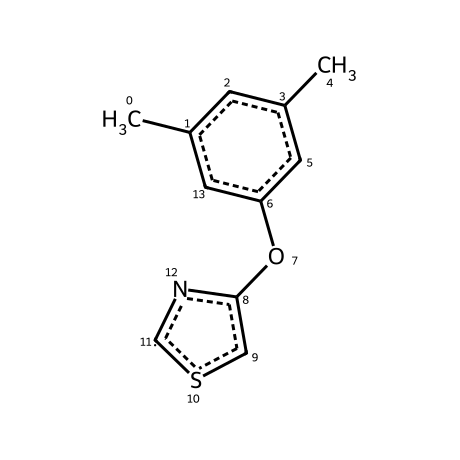 Cc1cc(C)cc(Oc2cs[c]n2)c1